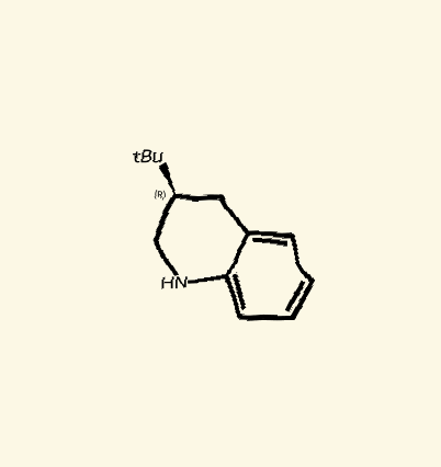 CC(C)(C)[C@@H]1CNc2ccccc2C1